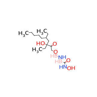 CCCCCC(CC)CC(O)(CC)C(=O)COBNBC(=O)NO